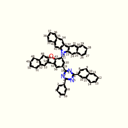 c1ccc(-c2nc(-c3ccc4ccccc4c3)nc(-c3cc(-n4c5cc6ccccc6cc5c5cc6ccccc6cc54)c4oc5cc6ccccc6cc5c4c3)n2)cc1